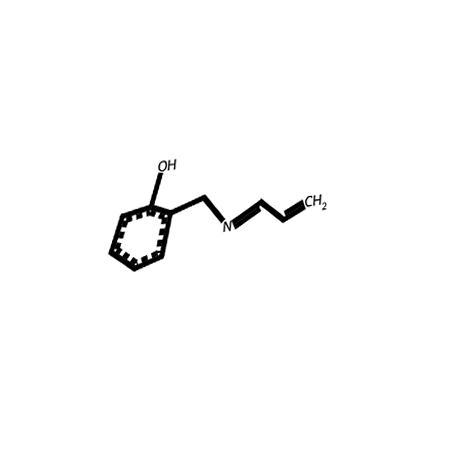 C=C[C]=NCc1ccccc1O